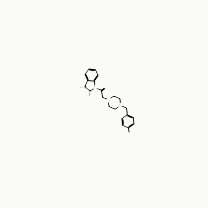 Cc1ccc(CN2CCN(CC(=O)N3c4ccccc4[C@H](C)[C@@H]3C)CC2)cc1